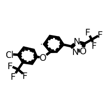 FC(F)(F)c1nc(-c2cc[c]c(Oc3ccc(Cl)c(C(F)(F)F)c3)c2)no1